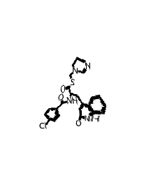 O=C(NC(Cc1cc(=O)[nH]c2ccccc12)C(=O)SCN1C=NC=CC1)c1ccc(Cl)cc1